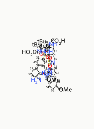 COc1ccc(CN(Cc2ccc(OC)cc2)S(=O)(=O)c2c(S(=O)(=O)NC(C(NC(=O)O)C(C)(C)C)C(NC(=O)O)C(C)(C)C)ccc(-c3cccc(N)c3N)c2-c2nnn(Cc3ccc(OC)cc3)n2)cc1